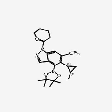 C[C@@H]1C[C@@H]1c1c(C(F)(F)F)cc2c(cnn2C2CCCCO2)c1B1OC(C)(C)C(C)(C)O1